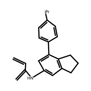 C=CC(=C)Nc1cc2c(c(-c3ccc(C(C)C)cc3)c1)CCC2